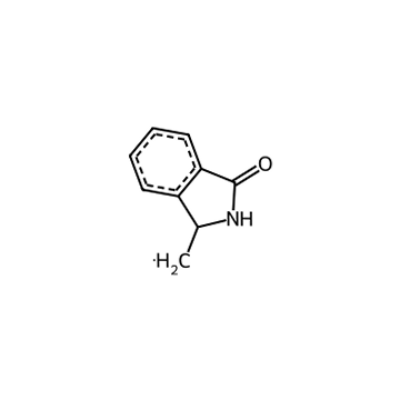 [CH2]C1NC(=O)c2ccccc21